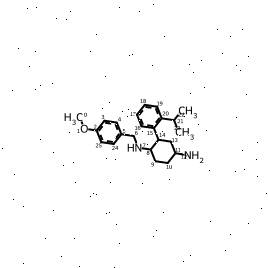 COc1ccc(CNC2CCC(N)CC2c2ccccc2C(C)C)cc1